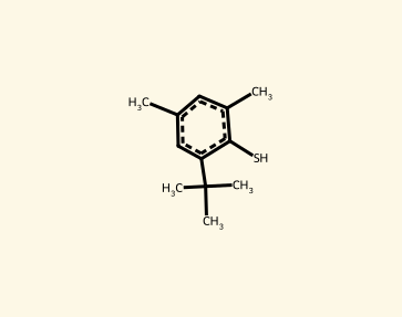 Cc1cc(C)c(S)c(C(C)(C)C)c1